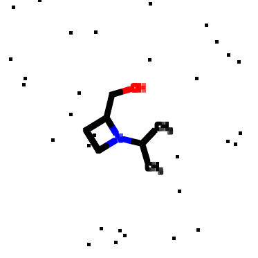 CC(C)N1CCC1CO